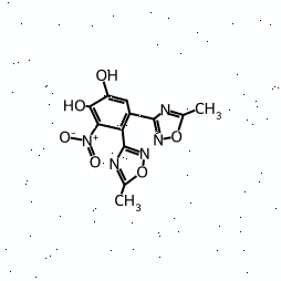 Cc1nc(-c2cc(O)c(O)c([N+](=O)[O-])c2-c2noc(C)n2)no1